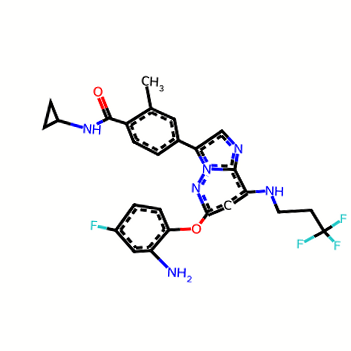 Cc1cc(-c2cnc3c(NCCC(F)(F)F)cc(Oc4ccc(F)cc4N)nn23)ccc1C(=O)NC1CC1